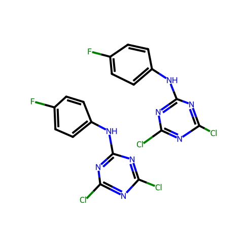 Fc1ccc(Nc2nc(Cl)nc(Cl)n2)cc1.Fc1ccc(Nc2nc(Cl)nc(Cl)n2)cc1